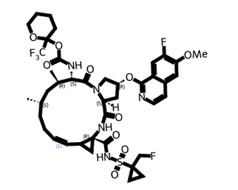 COc1cc2ccnc(O[C@@H]3C[C@H]4C(=O)N[C@]5(C(=O)NS(=O)(=O)C6(CF)CC6)CC5/C=C\CC[C@H](C)C[C@@H](C)[C@H](NC(=O)OC5(C(F)(F)F)CCCCO5)C(=O)N4C3)c2cc1F